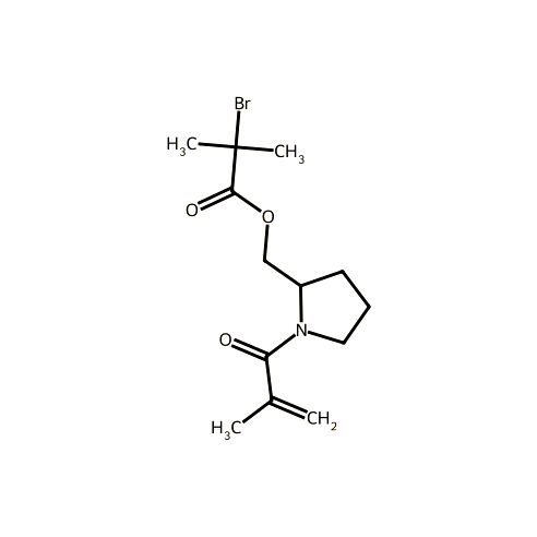 C=C(C)C(=O)N1CCCC1COC(=O)C(C)(C)Br